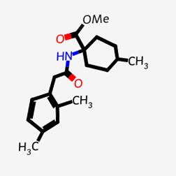 COC(=O)C1(NC(=O)Cc2ccc(C)cc2C)CCC(C)CC1